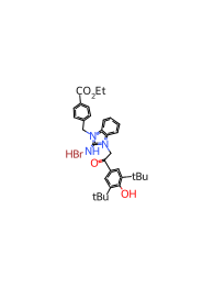 Br.CCOC(=O)c1ccc(Cn2c(=N)n(CC(=O)c3cc(C(C)(C)C)c(O)c(C(C)(C)C)c3)c3ccccc32)cc1